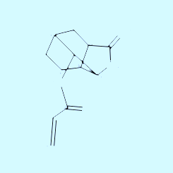 C=CC(=O)OC1C2CCC3C(C2)C(=O)OC31